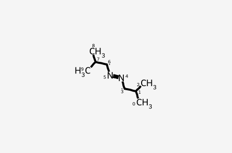 CC(C)[CH]N=N[CH]C(C)C